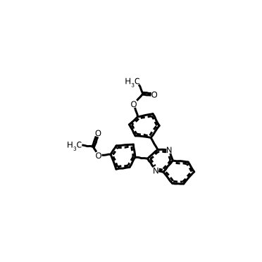 CC(=O)Oc1ccc(-c2nc3ccccc3nc2-c2ccc(OC(C)=O)cc2)cc1